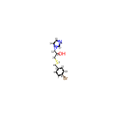 OC(CSCc1ccc(Br)cc1)Cn1ccnc1